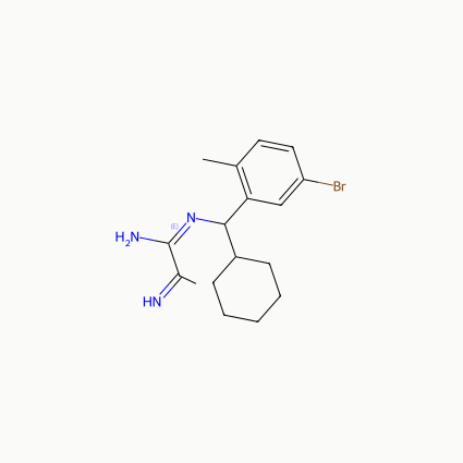 CC(=N)/C(N)=N\C(c1cc(Br)ccc1C)C1CCCCC1